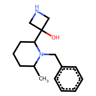 CC1CCCC(C2(O)CNC2)N1Cc1ccccc1